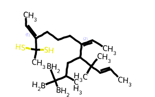 BC(B)(B)C(C)CC(/C(=C\C)CCC/C(=C\C)C(C)(S)S)C(C)(C)C=CC